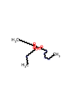 CCCCC/C=C\C/C=C\C/C=C\C/C=C\CCCC(=O)OC[C@@H](COC(=O)CCCCCCCCCCCCC)OC(=O)CCCCCCC/C=C\CCCCCC